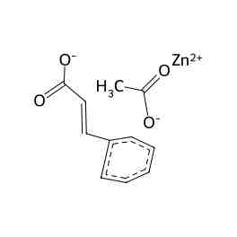 CC(=O)[O-].O=C([O-])C=Cc1ccccc1.[Zn+2]